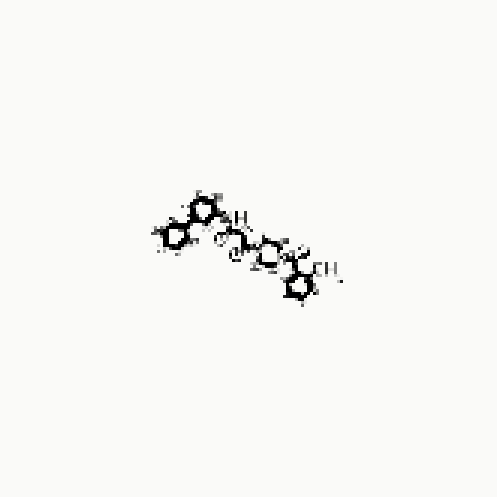 Cc1ccccc1C(=O)N1CCN(C(=O)CC(=O)Nc2cccc(-c3ccccc3)c2)CC1